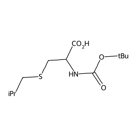 CC(C)CSCC(NC(=O)OC(C)(C)C)C(=O)O